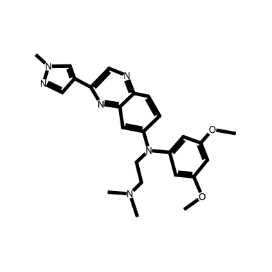 COc1cc(OC)cc(N(CCN(C)C)c2ccc3ncc(-c4cnn(C)c4)nc3c2)c1